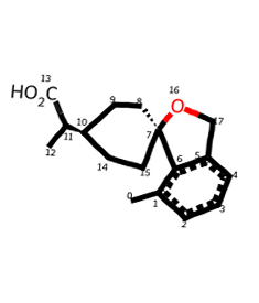 Cc1cccc2c1[C@]1(CC[C@H](C(C)C(=O)O)CC1)OC2